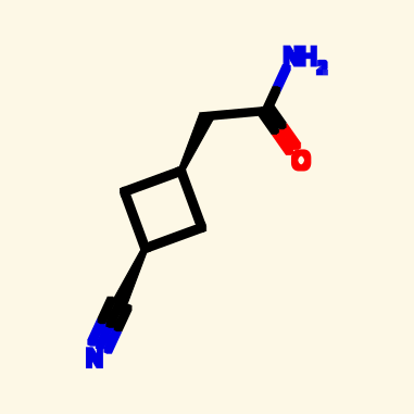 N#C[C@H]1C[C@@H](CC(N)=O)C1